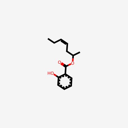 CC/C=C\CC(C)OC(=O)c1ccccc1O